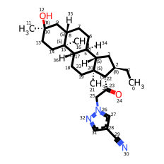 CC[C@@H]1C[C@H]2[C@@H]3CC[C@H]4C[C@](C)(O)CC[C@]4(C)[C@H]3CC[C@]2(C)[C@H]1C(=O)Cn1cc(C#N)cn1